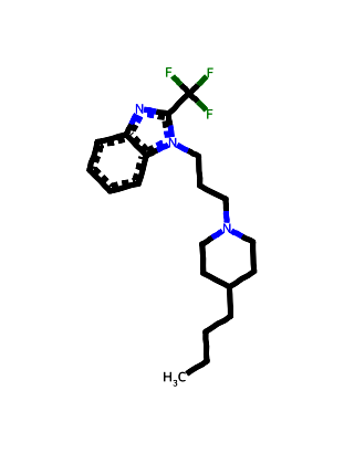 CCCCC1CCN(CCCn2c(C(F)(F)F)nc3ccccc32)CC1